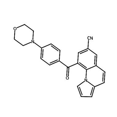 N#Cc1cc(C(=O)c2ccc(N3CCOCC3)cc2)c2c(ccc3cccn32)c1